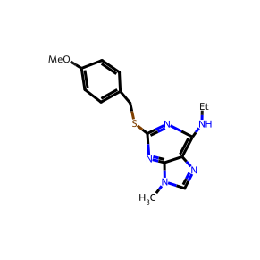 CCNc1nc(SCc2ccc(OC)cc2)nc2c1ncn2C